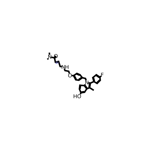 Cc1c(-c2ccc(F)cc2)n(Cc2ccc(OCCNC/C=C/C(=O)N(C)C)cc2)c2ccc(O)cc12